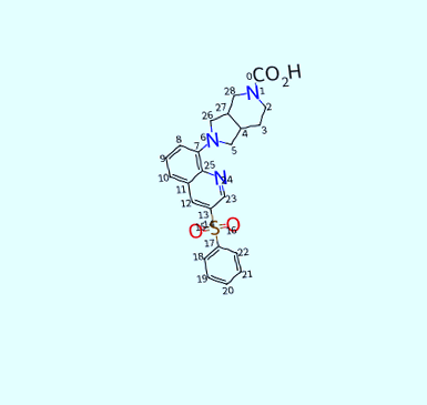 O=C(O)N1CCC2CN(c3cccc4cc(S(=O)(=O)c5ccccc5)cnc34)CC2C1